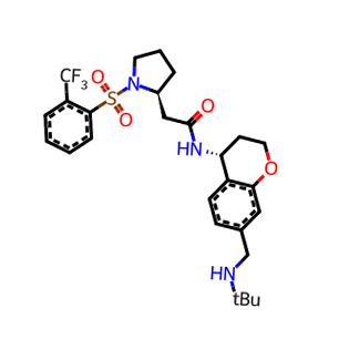 CC(C)(C)NCc1ccc2c(c1)OCC[C@H]2NC(=O)C[C@@H]1CCCN1S(=O)(=O)c1ccccc1C(F)(F)F